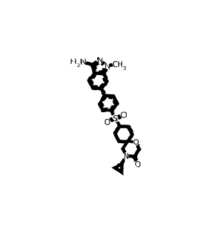 Cn1nc(N)c2ccc(-c3ccc(S(=O)(=O)C4CCC5(CC4)CN(C4CC4)C(=O)CO5)cc3)cc21